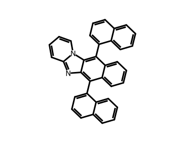 c1ccc2c(-c3c4ccccc4c(-c4cccc5ccccc45)c4c3nc3ccccn34)cccc2c1